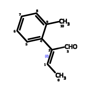 C/C=C(\C=O)c1ccccc1C